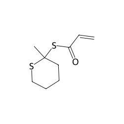 C=CC(=O)SC1(C)CCCCS1